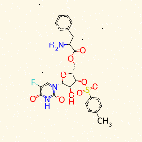 Cc1ccc(S(=O)(=O)O[C@H]2[C@@H](O)[C@H](n3cc(F)c(=O)[nH]c3=O)O[C@@H]2COC(=O)[C@@H](N)Cc2ccccc2)cc1